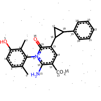 Cc1ccc(O)c(C)c1-n1c(N)c(C(=O)O)cc(C2CC2c2ccccc2)c1=O